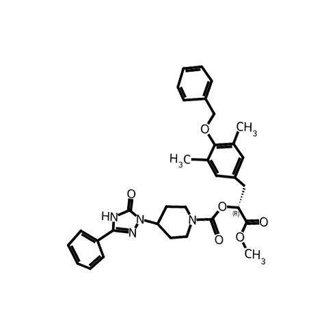 COC(=O)[C@@H](Cc1cc(C)c(OCc2ccccc2)c(C)c1)OC(=O)N1CCC(n2nc(-c3ccccc3)[nH]c2=O)CC1